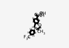 C[C@H]1COc2cc(C(=O)NO)ccc2CN1c1ccc(C(F)(F)F)cc1